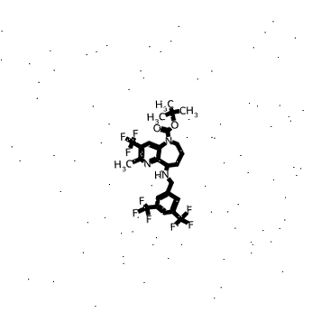 Cc1nc2c(cc1C(F)(F)F)N(C(=O)OC(C)(C)C)CCCC2NCc1cc(C(F)(F)F)cc(C(F)(F)F)c1